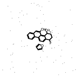 CC1CCC(F)c2ccc3c(c(O)cc4ccccc43)c21.c1ccoc1